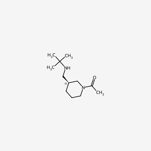 CC(=O)N1CCC[C@@H](CNC(C)(C)C)C1